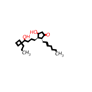 CCCCC=CC[C@H]1C(=O)CC(O)[C@@H]1CCCC(O)C1(CCC)CCC1